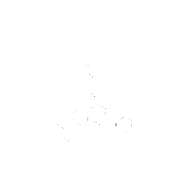 C=C(NC)c1ccc2c(N3CCN(C(=O)OCC)CC3)nc(-c3ccccc3Cl)nc2c1